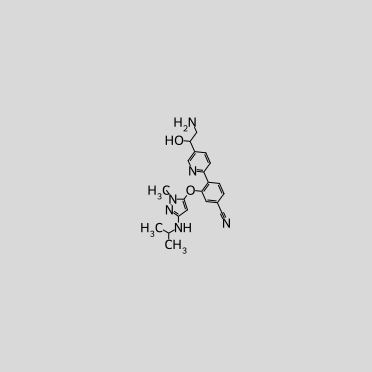 CC(C)Nc1cc(Oc2cc(C#N)ccc2-c2ccc(C(O)CN)cn2)n(C)n1